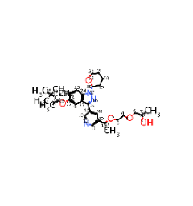 C[C@H](OCCOC[C@@H](C)O)c1cncc(-c2nn(C3CCCCO3)c3ccc(O[Si](C)(C)C(C)(C)C)cc23)c1